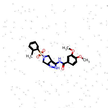 COc1ccc(C(=O)Nc2[nH]nc3c2CN(S(=O)(=O)c2ccccc2C)C3)cc1OC